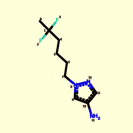 CC(F)(F)CCCCn1cc(N)cn1